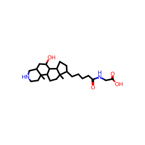 CC12CCC3C(C(O)CC4CNCCC43C)C1CCC2CCCCC(=O)NCC(=O)O